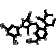 CC(C)CN(C(=O)N(C)C)c1ccc(OC(F)(F)F)cc1CN1C(=O)O[C@H](c2cc(C(F)(F)F)cc(C(F)(F)F)c2)[C@@H]1C